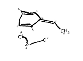 CC=C1C=CC=C1.[Cl][Zr][Cl]